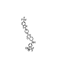 O=CC(OC1CCC(Nc2ccc([N+](=O)[O-])c(C(F)(F)F)c2)CC1)N1CCN(c2nc3cc(C(F)(F)F)ccc3s2)CC1